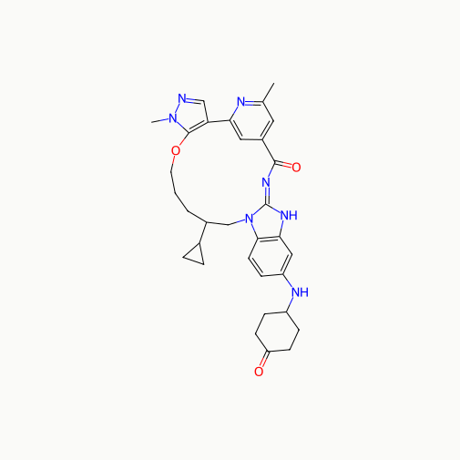 Cc1cc2cc(n1)-c1cnn(C)c1OCCCC(C1CC1)CN1/C(=N/C2=O)Nc2cc(NC3CCC(=O)CC3)ccc21